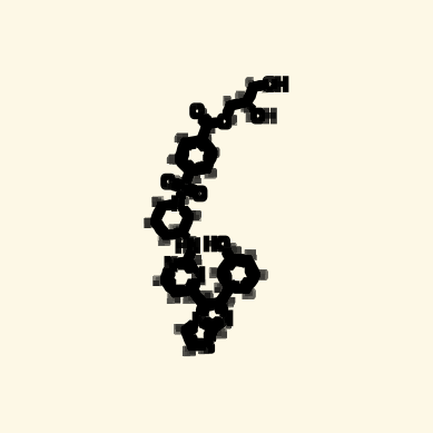 O=C(OC[C@@H](O)CO)c1ccc(S(=O)(=O)N2CCC[C@@H](Nc3nccc(-c4c(-c5cccc(O)c5)nc5sccn45)n3)C2)cc1